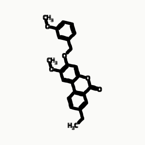 CCc1ccc2c(c1)c(=O)oc1cc(OCc3cccc(OC)c3)c(OC)cc12